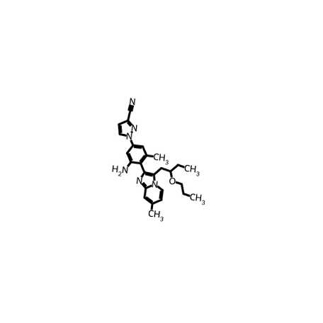 CCCOC(CC)Cc1c(-c2c(C)cc(-n3ccc(C#N)n3)cc2N)nc2cc(C)ccn12